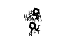 N#Cc1ccc(N2C(=O)[C@H]3[C@H]([C@@H]4C=C[C@H]3C4)S2(O)O)cc1C(F)(F)F